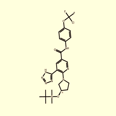 CC(C)(C)[Si](C)(C)O[C@@H]1CCN(c2ncc(C(=O)Nc3ccc(OC(F)(F)Cl)cc3)cc2-c2nnn[nH]2)C1